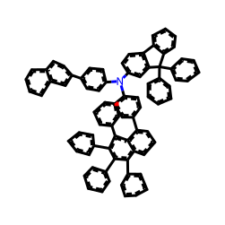 c1ccc(-c2c(-c3ccccc3)c(-c3ccccc3)c3c(-c4ccc(N(c5ccc(-c6ccc7ccccc7c6)cc5)c5ccc6c(c5)C(c5ccccc5)(c5ccccc5)c5ccccc5-6)cc4)cccc3c2-c2ccccc2)cc1